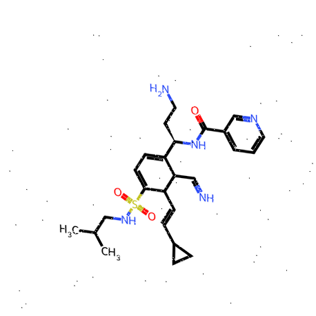 CC(C)CNS(=O)(=O)C1=CC=C([C@@H](CCN)NC(=O)c2cccnc2)C(C=N)C1/C=C/C1CC1